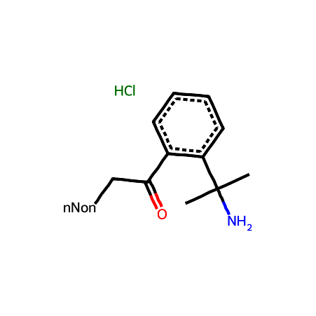 CCCCCCCCCCC(=O)c1ccccc1C(C)(C)N.Cl